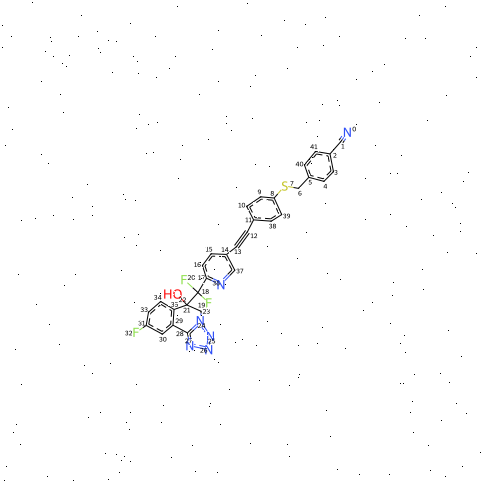 N#Cc1ccc(CSc2ccc(C#Cc3ccc(C(F)(F)C4(O)Cn5nnnc5-c5cc(F)ccc54)nc3)cc2)cc1